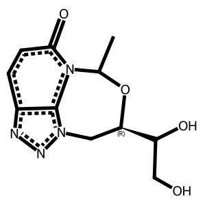 CC1O[C@@H](C(O)CO)Cn2nnc3ccc(=O)n1c32